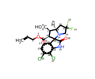 C=CCOC(=O)[C@H]1[C@@H](C(=O)O)[C@H]2CC(F)(F)CN2C12C(=O)Nc1c2ccc(Cl)c1Cl